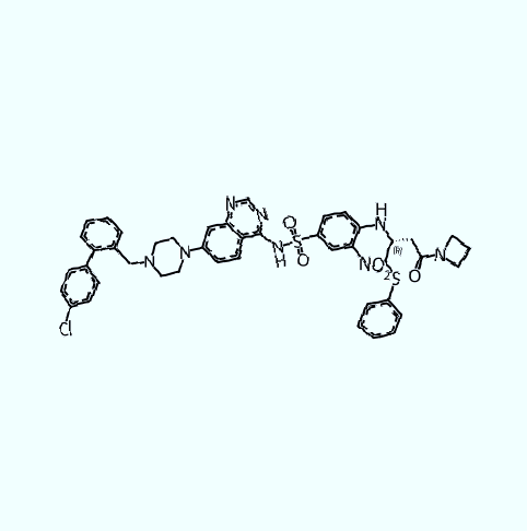 O=C(C[C@H](CSc1ccccc1)Nc1ccc(S(=O)(=O)Nc2ncnc3cc(N4CCN(Cc5ccccc5-c5ccc(Cl)cc5)CC4)ccc23)cc1[N+](=O)[O-])N1CCC1